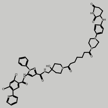 O=C1CCC(Nc2ccc(N3CCN(C(=O)CCCCCC(=O)N4CCC(O)(CNC(=O)c5cc(NC(=O)c6cc(-c7ccccn7)c(Cl)cc6Cl)n(-c6ccccc6)n5)CC4)CC3)cc2)C(=O)N1